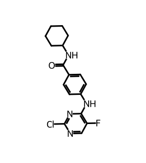 O=C(NC1CCCCC1)c1ccc(Nc2nc(Cl)ncc2F)cc1